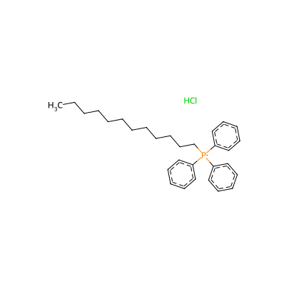 CCCCCCCCCCCC[P](c1ccccc1)(c1ccccc1)c1ccccc1.Cl